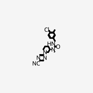 Cc1cc(CNC(=O)N(C)[C@@H]2CCCN(c3cnc(C#N)cn3)C2)ccc1Cl